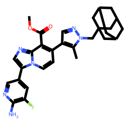 COC(=O)c1c(-c2cnn(CC34CC5CC(CC(C5)C3)C4)c2C)ccn2c(-c3cnc(N)c(F)c3)cnc12